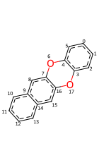 c1ccc2c(c1)Oc1cc3ccccc3cc1O2